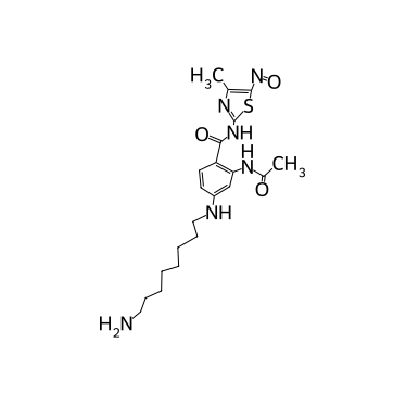 CC(=O)Nc1cc(NCCCCCCCCN)ccc1C(=O)Nc1nc(C)c(N=O)s1